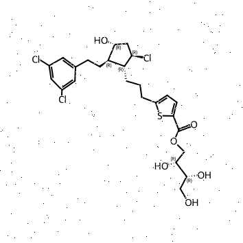 O=C(OC[C@@H](O)[C@H](O)CO)c1ccc(CCC[C@@H]2[C@@H](CCc3cc(Cl)cc(Cl)c3)[C@H](O)C[C@H]2Cl)s1